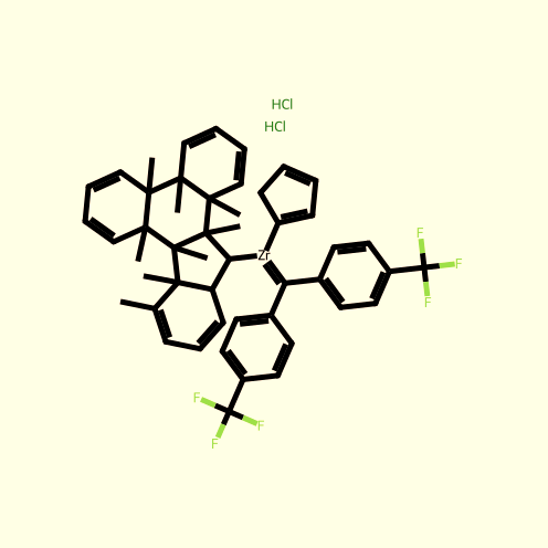 CC1=CC=CC2[CH]([Zr]([C]3=CC=CC3)=[C](c3ccc(C(F)(F)F)cc3)c3ccc(C(F)(F)F)cc3)C3(C)C4(C)C=CC=CC4(C)C4(C)C=CC=CC4(C)C3(C)C12C.Cl.Cl